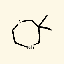 CC1(C)CNCCNC1